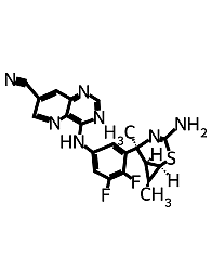 C[C@@H]1[C@@H]2SC(N)=N[C@](C)(c3cc(Nc4ncnc5cc(C#N)cnc45)cc(F)c3F)[C@H]12